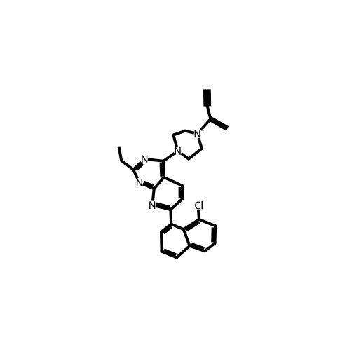 C#CC(=C)N1CCN(c2nc(CC)nc3nc(-c4cccc5cccc(Cl)c45)ccc23)CC1